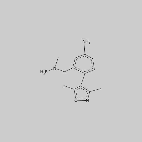 BN(C)Cc1cc(N)ccc1-c1c(C)noc1C